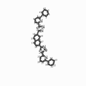 c1ccc(-c2cccc(-c3nnc(-c4ccc5ccc(-c6nnc(-c7cccc(-c8ccccc8)n7)s6)cc5c4)s3)n2)cc1